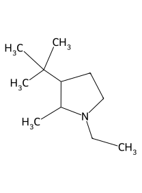 CCN1CCC(C(C)(C)C)C1C